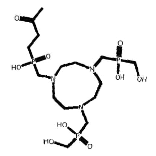 CC(=O)CCP(=O)(O)CN1CCN(CP(=O)(O)CO)CCN(CP(=O)(O)CO)CC1